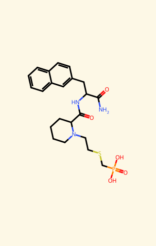 NC(=O)C(Cc1ccc2ccccc2c1)NC(=O)C1CCCCN1CCSCP(=O)(O)O